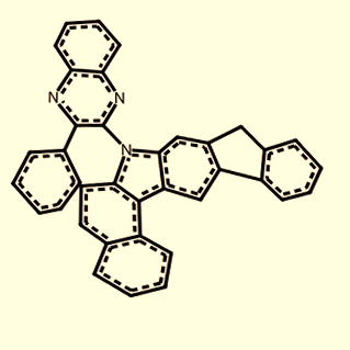 c1ccc(-c2nc3ccccc3nc2-n2c3cc4c(cc3c3c5ccccc5ccc32)-c2ccccc2C4)cc1